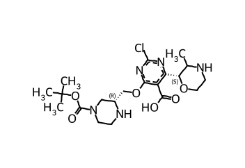 CC1NCCO[C@@H]1c1nc(Cl)nc(OC[C@H]2CN(C(=O)OC(C)(C)C)CCN2)c1C(=O)O